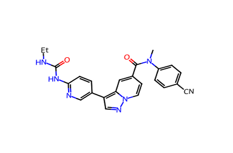 CCNC(=O)Nc1ccc(-c2cnn3ccc(C(=O)N(C)c4ccc(C#N)cc4)cc23)cn1